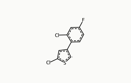 Fc1ccc(-c2[c]sc(Cl)c2)c(Cl)c1